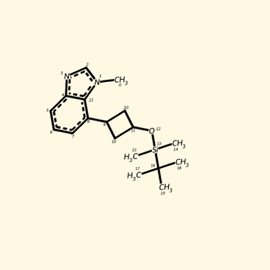 Cn1cnc2cccc(C3CC(O[Si](C)(C)C(C)(C)C)C3)c21